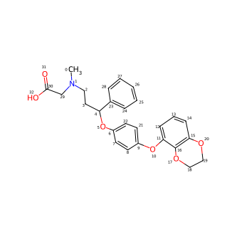 CN(CCC(Oc1ccc(Oc2cccc3c2OCCO3)cc1)c1ccccc1)CC(=O)O